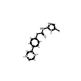 Cc1cnc(NC(=O)Cc2ccc(-c3cnccn3)cc2)s1